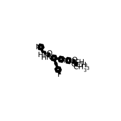 CC(C)(C)OC(=O)N1CCN(c2ccc(-c3ccc(NC(=O)NCCc4cccnc4)cc3C#Cc3ccc(F)cc3)cc2)CC1